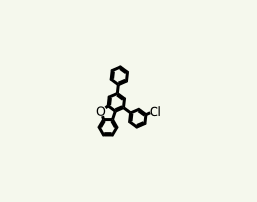 Clc1cccc(-c2cc(-c3ccccc3)cc3oc4ccccc4c23)c1